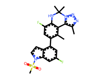 Cc1nnn2c1-c1c(C)c(-c3cc(F)cc4c3ccn4S(C)(=O)=O)cc(F)c1NC2(C)C